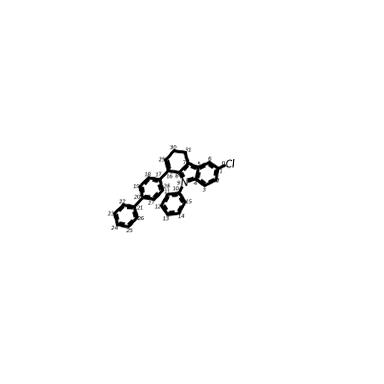 Clc1ccc2c(c1)c1c(n2-c2ccccc2)C(c2ccc(-c3ccccc3)cc2)=CCC1